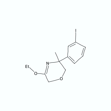 CCOC1=NC(C)(c2cccc(I)c2)COC1